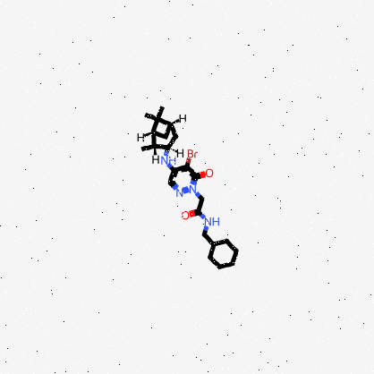 C[C@@H]1[C@H]2C[C@@H](C[C@H]1Nc1cnn(CC(=O)NCC3CCCCC3)c(=O)c1Br)C2(C)C